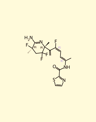 C=C(/C(F)=C\C=C(/C)NC(=O)c1nccs1)[C@@]1(C)N=C(N)[C@](C)(F)CC1(F)F